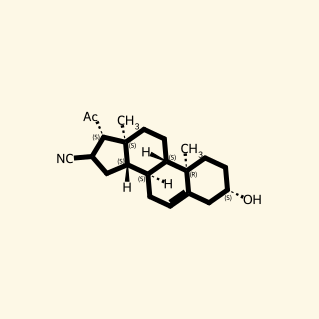 CC(=O)[C@H]1C(C#N)C[C@H]2[C@@H]3CC=C4C[C@@H](O)CC[C@]4(C)[C@H]3CC[C@]12C